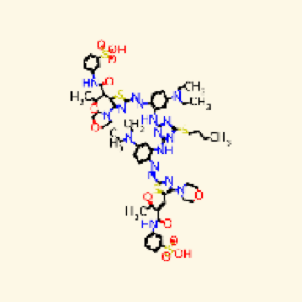 CCCCSc1nc(Nc2cc(N(CC)CC)ccc2/N=N/c2nc(N3CCOCC3)c(/C=C(\C(C)=O)C(=O)Nc3cccc(S(=O)(=O)O)c3)s2)nc(Nc2cc(N(CC)CC)ccc2/N=N/c2nc(N3CCOCC3)c(C(C(C)=O)C(=O)Nc3cccc(S(=O)(=O)O)c3)s2)n1